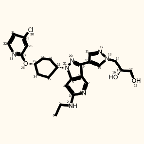 CCNc1cc2c(cn1)c(-c1cnn(C[C@@H](O)CO)c1)nn2[C@H]1CC[C@@H](Oc2cc(Cl)ccn2)CC1